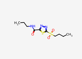 CCCCS(=O)(=O)c1nnc(C(=O)NCCC)s1